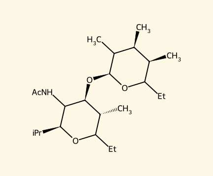 CCC1O[C@@H](C(C)C)C(NC(C)=O)[C@@H](O[C@@H]2OC(CC)[C@H](C)[C@H](C)C2C)[C@@H]1C